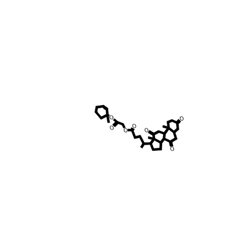 CC(CCC(=O)OCC(=O)OC1(C)C=CCCC1)C1CCC2C3C(=O)CC4CC(=O)CCC4(C)C3CC(=O)C12C